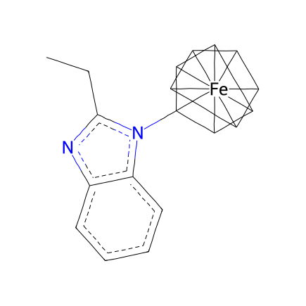 CCc1nc2ccccc2n1[C]12[CH]3[CH]4[CH]5[CH]1[Fe]45321678[CH]2[CH]1[CH]6[CH]7[CH]28